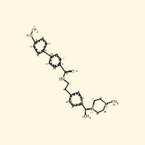 CC(c1ccc(CCNC(=O)c2ccc(-c3ccc(OC(F)(F)F)cc3)cc2)cc1)N1CCN(C)CC1